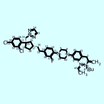 C=C(Cc1ccc(N2CCN(c3ccc(CC[C@@H]4CC[C@@](Cn5nccn5)(c5ccc(Cl)cc5Cl)C4)cc3F)CC2)cc1)N(/N=C\C)C(C)CC